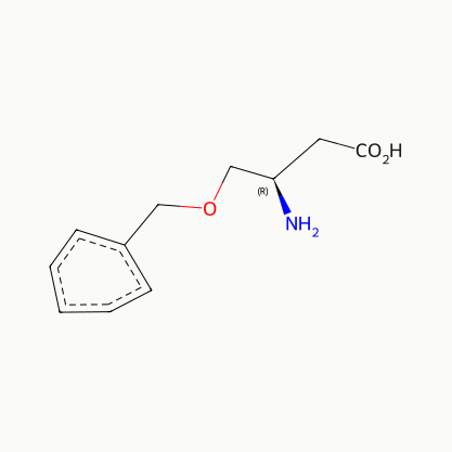 N[C@@H](COCc1ccccc1)CC(=O)O